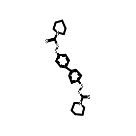 S=C(SSc1ccc(-c2ccc(SSC(=S)N3CCCCC3)cc2)cc1)N1CCCCC1